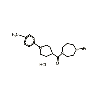 CC(C)N1CCCN(C(=O)C2CCN(c3ccc(C(F)(F)F)cc3)CC2)CC1.Cl